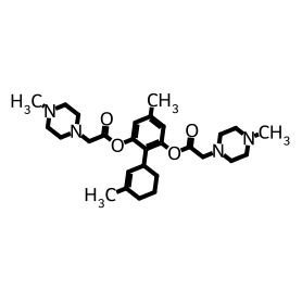 CC1=CC(c2c(OC(=O)CN3CCN(C)CC3)cc(C)cc2OC(=O)CN2CCN(C)CC2)CCC1